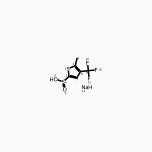 Cc1sc(S(=O)O)cc1C(F)(F)F.[NaH]